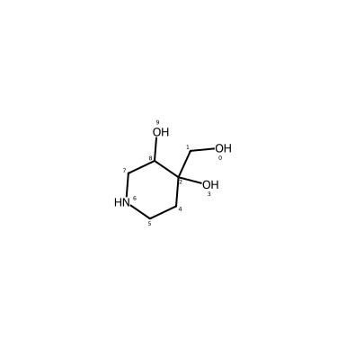 OCC1(O)CCNCC1O